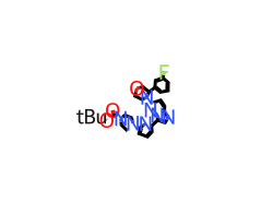 CC(C)(C)OC(=O)N1CCN(c2cccc(-c3cnc4ccc(N5CCOCC5c5cccc(F)c5)nn34)n2)CC1